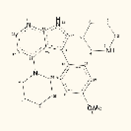 C1CCNCC1.COc1ccc(-c2c[nH]c3ncnc(N4CCCCC4)c23)cc1